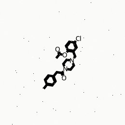 CC(=O)Oc1ccc(Cl)cc1CN1CCN(C(=O)Cc2ccc(C)cc2)CC1